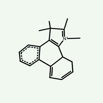 CC1=[N+](C)C2=C(c3ccccc3C3=CC=CCC32)C1(C)C